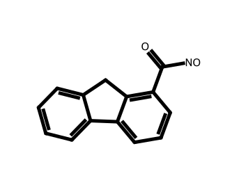 O=NC(=O)c1cccc2c1Cc1ccccc1-2